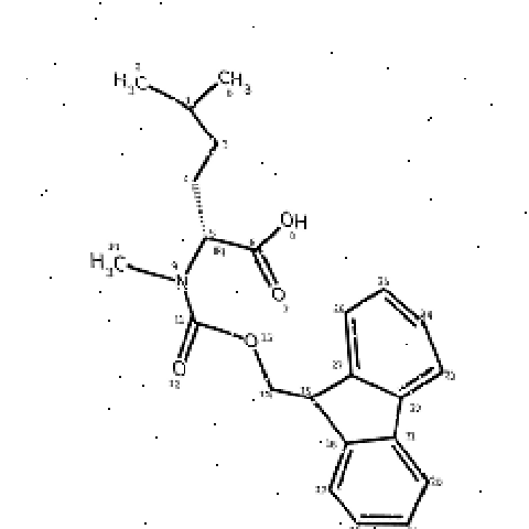 CC(C)CC[C@H](C(=O)O)N(C)C(=O)OCC1c2ccccc2-c2ccccc21